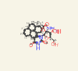 CCCC(=O)O[C@]1(N)[C@H](O)[C@@H](CO)O[C@@]1(c1ccc2ccc3cccc4ccc1c2c34)n1ccc(=O)[nH]c1=O